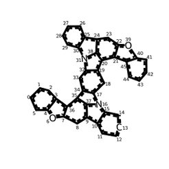 c1ccc2c(c1)oc1cc3c4ccccc4n4c5cc6c7c8c(cc9c%10ccccc%10n(c6cc5c(c12)c34)c97)oc1ccccc18